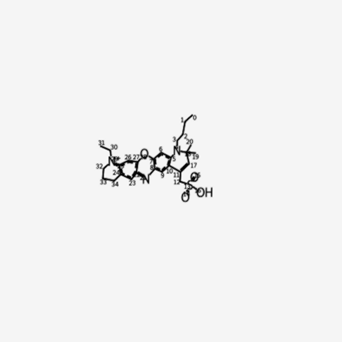 CCCCN1c2cc3c(cc2C(CS(=O)(=O)O)=CC1(C)C)N=c1cc2c(cc1O3)=[N+](CC)CCC2